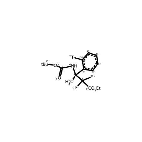 CCOC(=O)C(F)(F)[C@](C)(NC(=O)OC(C)(C)C)c1ccccc1F